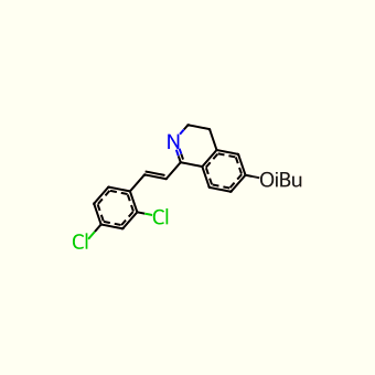 CC(C)COc1ccc2c(c1)CCN=C2/C=C/c1ccc(Cl)cc1Cl